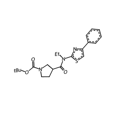 CCN(C(=O)C1CCN(C(=O)OC(C)(C)C)C1)c1nc(-c2ccccc2)cs1